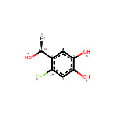 CC[C@H](O)c1cc(O)c(O)cc1[18F]